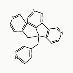 c1cc(CC2(Cc3ccncc3)c3ccncc3-c3cnccc32)ccn1